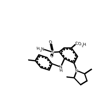 Cc1ccc(Nc2c(N3C(C)CCC3C)cc(C(=O)O)cc2S(N)(=O)=O)cc1